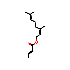 CC=CC(=O)OCC=C(C)CCC=C(C)C